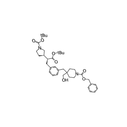 CC(C)(C)OC(=O)[C@@H](Cc1cccc(CC2(CO)CCN(C(=O)OCc3ccccc3)CC2)c1)[C@H]1CCN(C(=O)OC(C)(C)C)C1